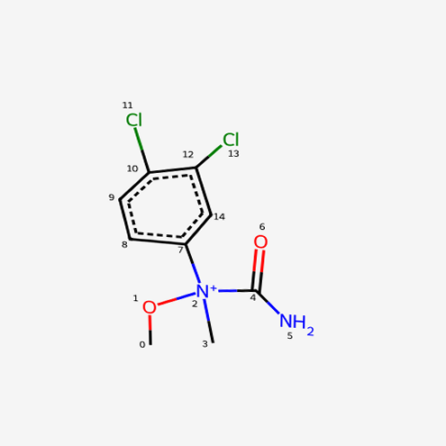 CO[N+](C)(C(N)=O)c1ccc(Cl)c(Cl)c1